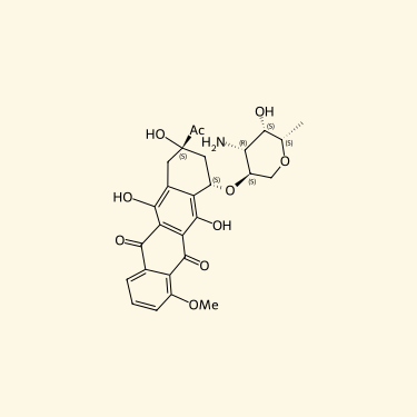 COc1cccc2c1C(=O)c1c(O)c3c(c(O)c1C2=O)C[C@@](O)(C(C)=O)C[C@@H]3O[C@@H]1CO[C@@H](C)[C@@H](O)[C@H]1N